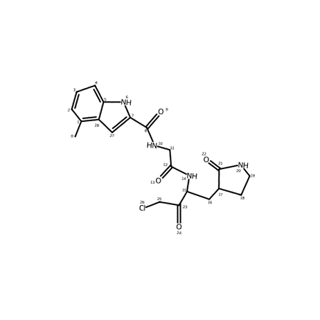 Cc1cccc2[nH]c(C(=O)NCC(=O)NC(CC3CCNC3=O)C(=O)CCl)cc12